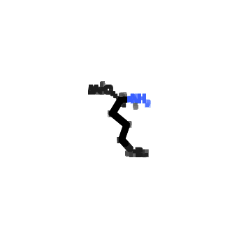 CCCCCCC[C@@H](N)OC